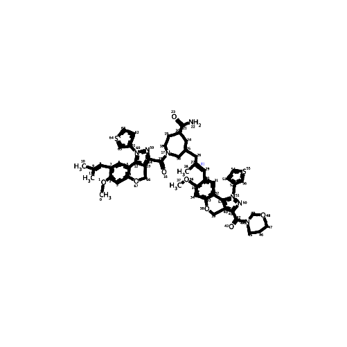 COc1cc2c(cc1C=C(C)C)-c1c(c(C(=O)N3CCC(C(N)=O)CC(C/C(C)=C/c4cc5c(cc4OC)OCc4c(C(=O)N6CCCOC6)nn(-c6ccsc6)c4-5)C3)nn1-c1ccsc1)CO2